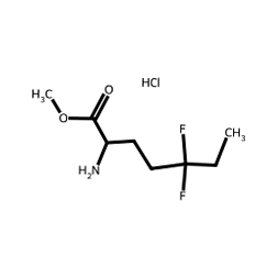 CCC(F)(F)CCC(N)C(=O)OC.Cl